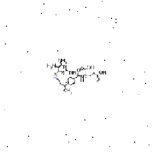 CN(CC/C=N\c1nc(N)nc(N)c1N)c1ccc(C(=O)N[C@@H](CCC(=O)O)C(=O)O)cc1